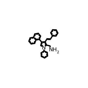 NCc1c(C=Cc2ccccc2)c(-c2cccc3ccccc23)cn1-c1ccccc1